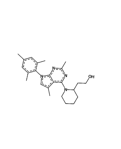 Cc1cc(C)c(-n2cc(C)c3c(N4CCCCC4CCO)nc(C)nc32)c(C)c1